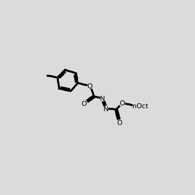 CCCCCCCCOC(=O)N=NC(=O)Oc1ccc(C)cc1